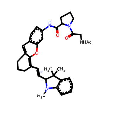 CC(=O)NCC(=O)N1CCCC1C(=O)Nc1ccc2c(c1)OC1=C(/C=C/C3N(C)c4ccccc4C3(C)C)CCCC1=C2